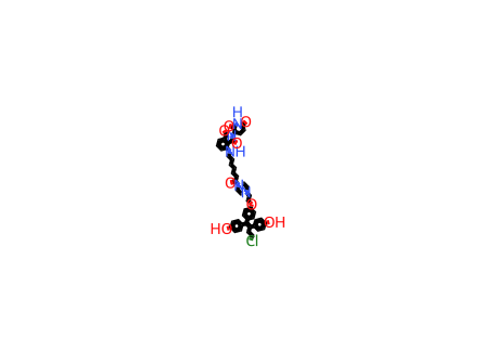 O=C1CCC(N2C(=O)c3cccc(NCCCCCCC(=O)N4CCN(CCOc5ccc(C(=C(CCCl)c6ccc(O)cc6)c6ccc(O)cc6)cc5)CC4)c3C2=O)C(=O)N1